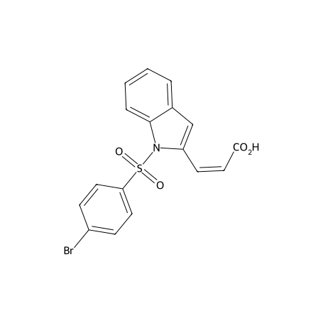 O=C(O)/C=C\c1cc2ccccc2n1S(=O)(=O)c1ccc(Br)cc1